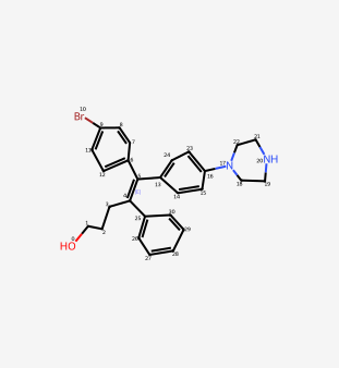 OCCC/C(=C(\c1ccc(Br)cc1)c1ccc(N2CCNCC2)cc1)c1ccccc1